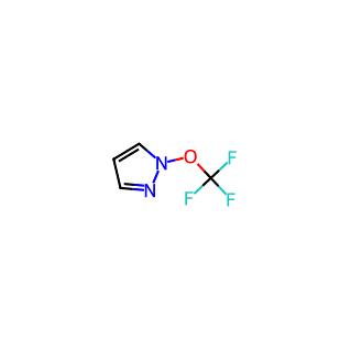 FC(F)(F)On1cccn1